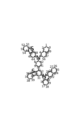 c1ccc2cc(N(c3ccc(-c4cc(-n5c6ccccc6c6cc7ccccc7cc65)cc5c4sc4ccccc45)cc3)c3ccc4c(c3)sc3ccccc34)ccc2c1